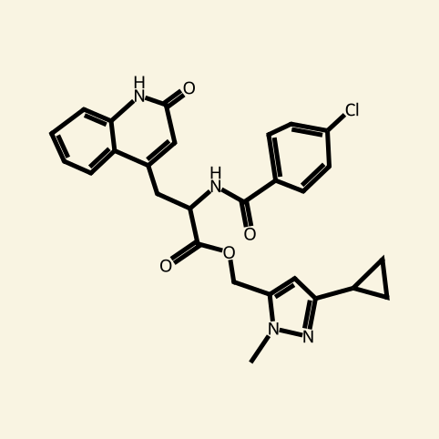 Cn1nc(C2CC2)cc1COC(=O)C(Cc1cc(=O)[nH]c2ccccc12)NC(=O)c1ccc(Cl)cc1